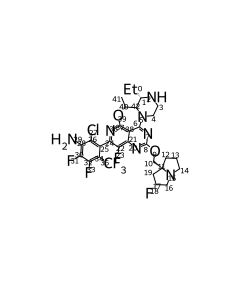 CC[C@@H]1NCCN2c3nc(OC[C@@]45CCCN4C[C@H](F)C5)nc4c(F)c(-c5c(Cl)c(N)c(F)c(F)c5C(F)(F)F)nc(c34)OC(C)C12